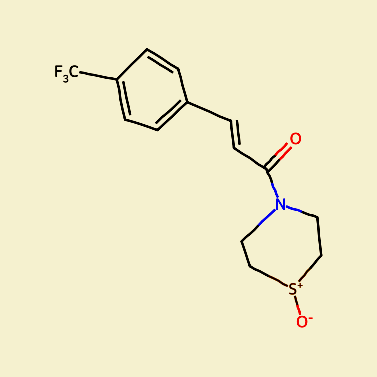 O=C(C=Cc1ccc(C(F)(F)F)cc1)N1CC[S+]([O-])CC1